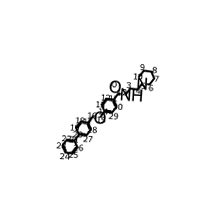 O=C(NCCN1CCCCC1)c1ccc(OCc2ccc(-c3ccccc3)cc2)cc1